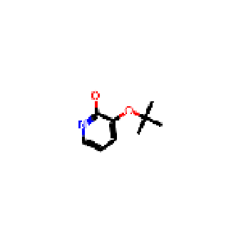 CC(C)(C)Oc1cccnc1[O]